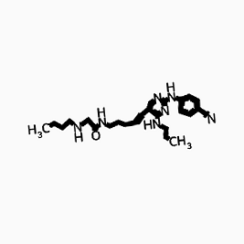 CCCCNCC(=O)NCCCC#Cc1cnc(Nc2ccc(C#N)cc2)nc1NCCC